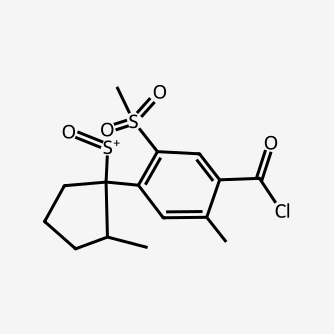 Cc1cc(C2([S+]=O)CCCC2C)c(S(C)(=O)=O)cc1C(=O)Cl